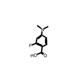 CN(C)c1ccc(C(=O)O)c(F)c1